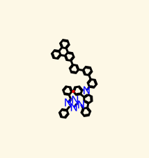 c1ccc(-c2nc(-c3ccccc3)nc(-n3c4ccccc4c4ccc5c(c6ccccc6n5-c5cccc(-c6cccc(-c7cccc(-c8ccc9c%10ccccc%10c%10ccccc%10c9c8)c7)c6)c5)c43)n2)cc1